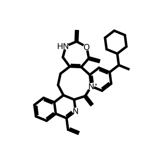 C=CC1=NC2C(=C)[n+]3ccc(C(C)C4CCCCC4)cc3C3=C(CCC2c2ccccc21)CNC(=C)OC3=C